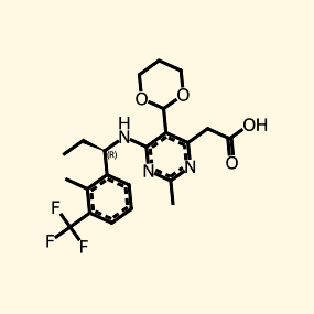 CC[C@@H](Nc1nc(C)nc(CC(=O)O)c1C1OCCCO1)c1cccc(C(F)(F)F)c1C